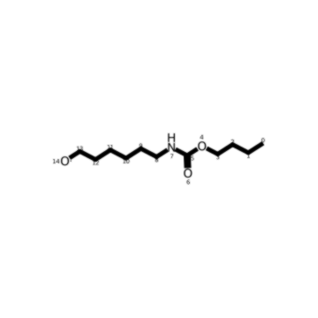 CCCCOC(=O)NCCCCCC[O]